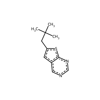 CC(C)(C)Cc1cc2cncnc2s1